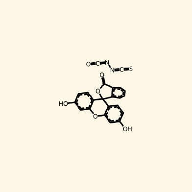 O=C1OC2(c3ccc(O)cc3Oc3cc(O)ccc32)c2ccccc21.O=C=NN=C=S